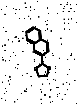 [c]1c(C2OCCO2)ccc2ccccc12